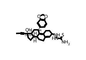 CC#C[C@]1(O)CC[C@H]2[C@@H]3CCC4=CC(NNC(N)=S)CCC4=C3[C@@H](c3ccc4c(c3)OCO4)C[C@@]21C